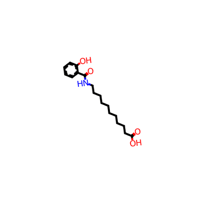 O=C(O)CCCCCCCCCCNC(=O)c1ccccc1O